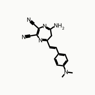 CN(C)c1ccc(/C=C/C2=NC(C#N)=C(C#N)N=C(N)C2)cc1